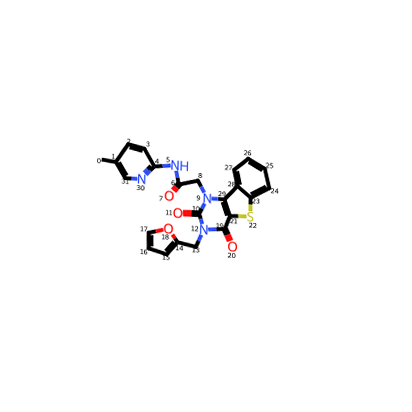 Cc1ccc(NC(=O)Cn2c(=O)n(Cc3ccco3)c(=O)c3sc4ccccc4c32)nc1